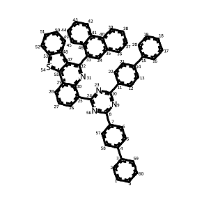 c1ccc(-c2ccc(-c3nc(-c4ccc(-c5ccccc5)cc4)nc(-c4cccc5c4nc(-c4cc6ccccc6c6ccccc46)c4c6ccccc6sc54)n3)cc2)cc1